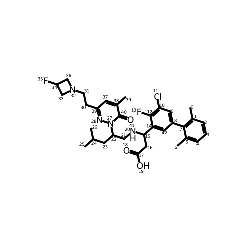 Cc1cccc(C)c1-c1cc(Cl)c(F)c(C(CC(=O)O)NCC(CC(C)C)n2nc(CCN3CC(F)C3)cc(C)c2=O)c1